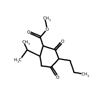 CCCC1C(=O)CC(C(C)C)C(C(=O)OC)C1=O